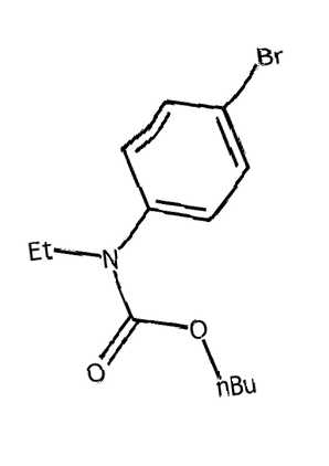 CCCCOC(=O)N(CC)c1ccc(Br)cc1